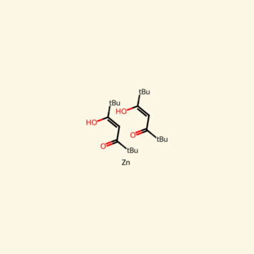 CC(C)(C)C(=O)C=C(O)C(C)(C)C.CC(C)(C)C(=O)C=C(O)C(C)(C)C.[Zn]